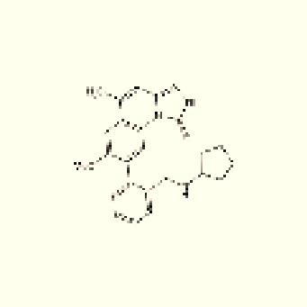 COc1cc2c(C)cc3n[nH]c(=O)n3c2cc1-c1ccccc1CNC1CCCC1